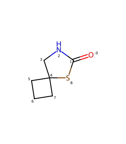 O=C1NCC2(CCC2)S1